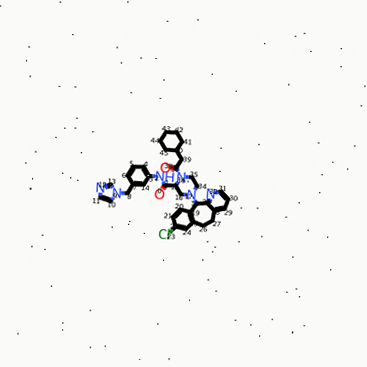 O=C(Nc1cccc(Cn2ccnc2)c1)C1CN(C2c3ccc(Cl)cc3CCc3cccnc32)CCN1C(=O)CC1CCCCC1